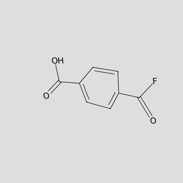 O=C(O)c1ccc(C(=O)F)cc1